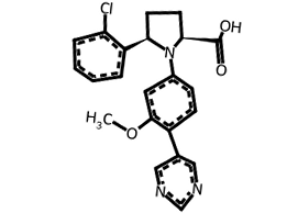 COc1cc(N2[C@@H](c3ccccc3Cl)CC[C@H]2C(=O)O)ccc1-c1cncnc1